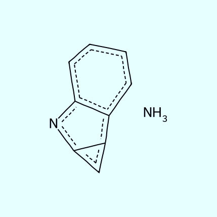 N.c1ccc2c3cc-3nc2c1